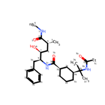 CCCCNC(=O)[C@H](C)C[C@H](O)[C@H](Cc1ccccc1)NC(=O)[C@@H]1CCC[C@H](C(C)(C)NC(=O)CC)C1